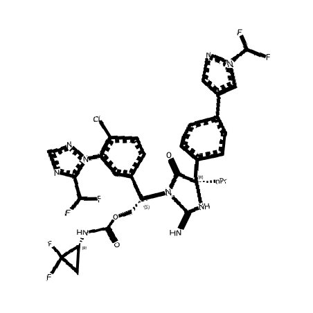 CCC[C@]1(c2ccc(-c3cnn(C(F)F)c3)cc2)NC(=N)N([C@H](COC(=O)N[C@@H]2CC2(F)F)c2ccc(Cl)c(-n3ncnc3C(F)F)c2)C1=O